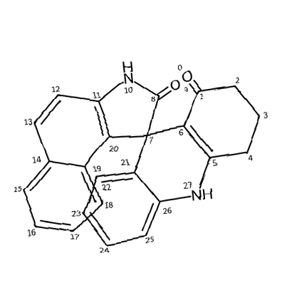 O=C1CCCC2=C1C1(C(=O)Nc3ccc4ccccc4c31)c1ccccc1N2